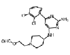 Nc1nc(NC2CCN(CCOC=O)CC2)cc(-c2cccc(Cl)c2Cl)n1